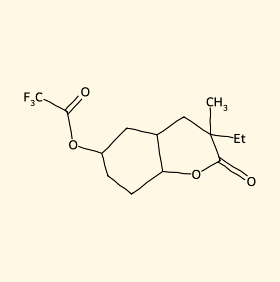 CCC1(C)CC2CC(OC(=O)C(F)(F)F)CCC2OC1=O